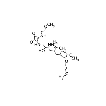 COCCCOc1cc(C[C@@H](C[C@H](N)[C@@H](O)CNc2c(NCCOC)c(=O)c2=O)C(C)C)ccc1OC